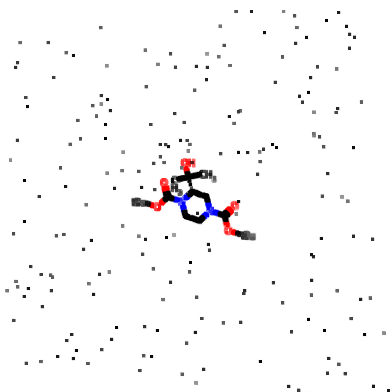 CC(C)(C)OC(=O)N1CCN(C(=O)OC(C)(C)C)[C@H](C(C)(C)O)C1